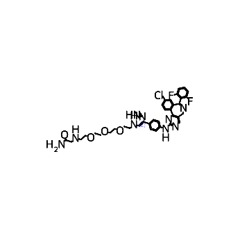 N=N/C(=C\NCCOCCOCCOCCNCC(N)=O)c1ccc(Nc2ncc3c(n2)-c2ccc(Cl)cc2C(c2c(F)cccc2F)=NC3)cc1